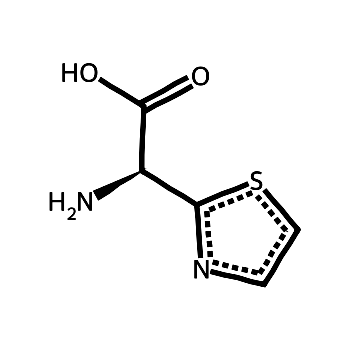 N[C@@H](C(=O)O)c1nccs1